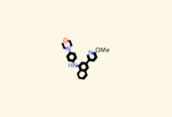 COc1ccc(-c2cc3c(c(Nc4ccc(N5CCOCC5)cc4)c2)CCC=C3)cn1